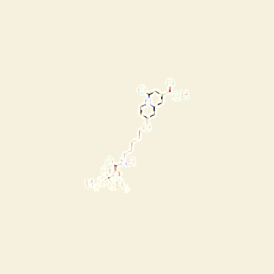 CC(C)(C)OC(=O)NCCCCCOc1ccn2c(=O)cc(C(=O)O)cc2c1